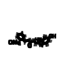 COc1ccccc1/C=C/C(=O)CCc1nc2ccc(O)cc2[nH]1